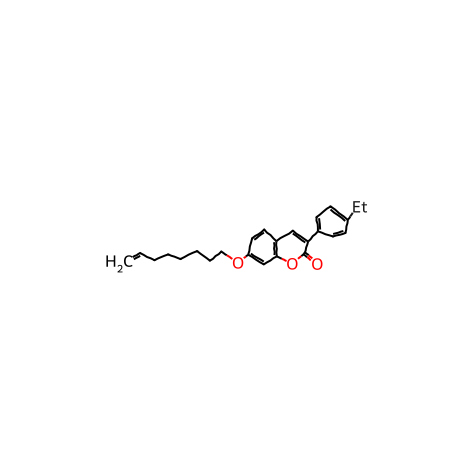 C=CCCCCCCOc1ccc2cc(-c3ccc(CC)cc3)c(=O)oc2c1